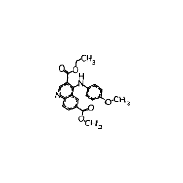 CCOC(=O)c1cnc2ccc(C(=O)OC)cc2c1Nc1ccc(OC)cc1